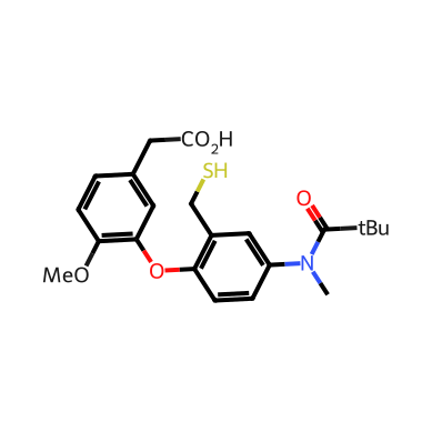 COc1ccc(CC(=O)O)cc1Oc1ccc(N(C)C(=O)C(C)(C)C)cc1CS